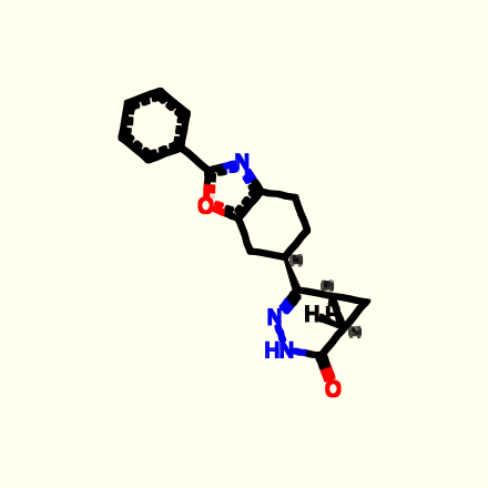 O=C1NN=C([C@@H]2CCc3nc(-c4ccccc4)oc3C2)[C@@H]2C[C@H]12